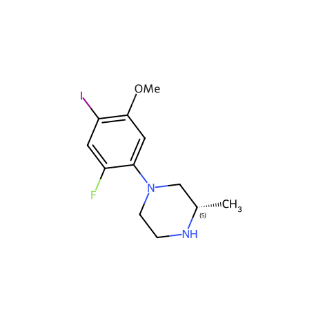 COc1cc(N2CCN[C@@H](C)C2)c(F)cc1I